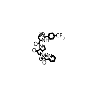 CC(C)CC(NC(=O)c1ccc(C(F)(F)F)cc1)C(=O)N1CCC2C1C(=O)CN2S(=O)(=O)C(=O)c1ccccn1